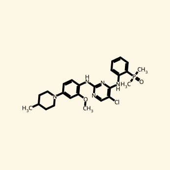 COc1cc(N2CCC(C)CC2)ccc1Nc1ncc(Cl)c(Nc2ccccc2P(C)(C)=O)n1